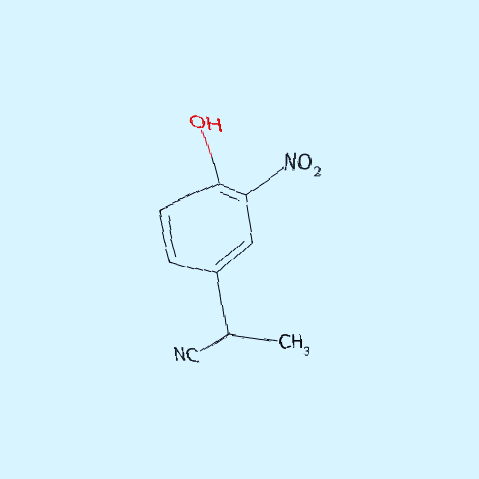 CC(C#N)c1ccc(O)c([N+](=O)[O-])c1